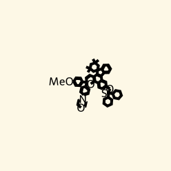 COc1ccc(C2(c3ccc(N4CCOCC4)cc3)C=Cc3c4c(c5cc6c(cc5c3O2)SC(C2CCCCC2)(C2CCCCC2)O6)-c2ccccc2C42CC(C)(C)CC(C)(C)C2)cc1